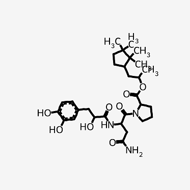 CC(CC1CCC(C)(C)C1(C)C)OC(=O)C1CCCN1C(=O)C(CC(N)=O)NC(=O)C(O)Cc1ccc(O)c(O)c1